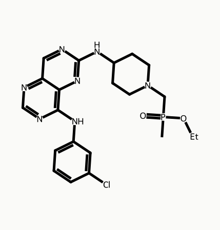 CCOP(C)(=O)CN1CCC(Nc2ncc3ncnc(Nc4cccc(Cl)c4)c3n2)CC1